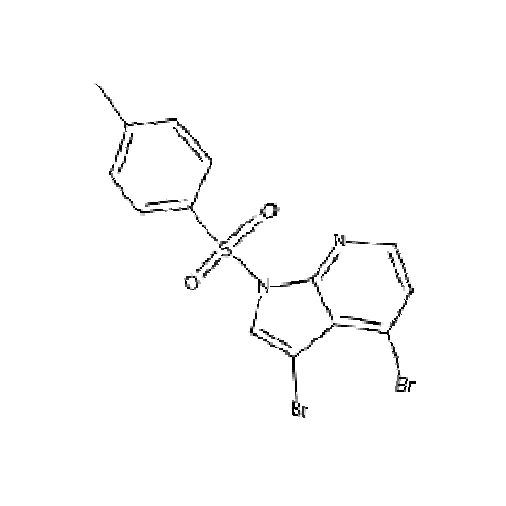 Cc1ccc(S(=O)(=O)n2cc(Br)c3c(Br)ccnc32)cc1